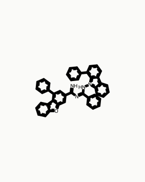 N=C(/N=C(\Nn1c2ccccc2c2cccc(-c3ccccc3)c21)c1ccccc1)c1cc(-c2ccccc2)c2c(c1)oc1ccccc12